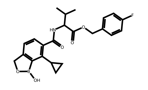 CC(C)C(NC(=O)c1ccc2c(c1C1CC1)B(O)OC2)C(=O)OCc1ccc(F)cc1